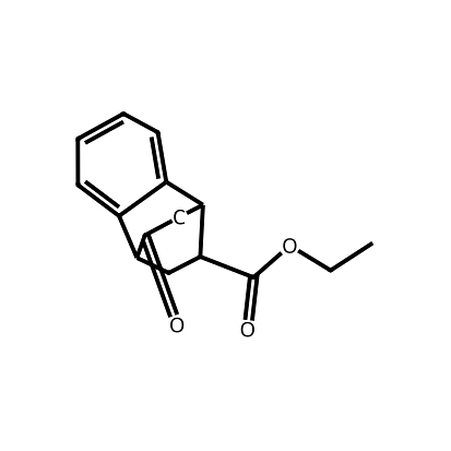 CCOC(=O)C1CC2C(=O)CC1c1ccccc12